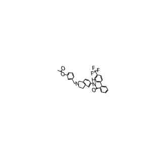 CC(=O)Oc1cccc(CN2CCc3cc(NC(=O)c4ccccc4-c4ccc(C(F)(F)F)cc4)ccc3C2)c1